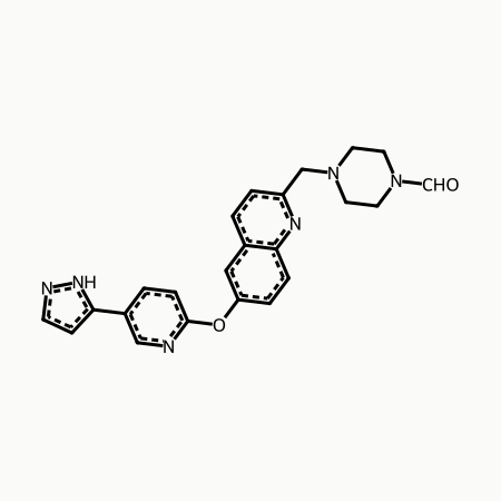 O=CN1CCN(Cc2ccc3cc(Oc4ccc(-c5ccn[nH]5)cn4)ccc3n2)CC1